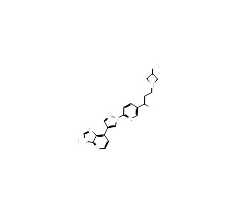 N#CC1CN(CCC(c2ccc(-n3cc(-c4ccnc5[nH]cnc45)cn3)nc2)C(F)(F)F)C1